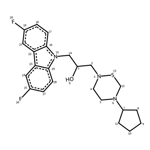 OC(CN1CCN(C2CCCC2)CS1)Cn1c2ccc(F)cc2c2cc(F)ccc21